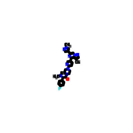 CN(C)C(C(=O)N1CCN(c2ccc(-c3nc(-c4cnn(C)c4)cn4ncc(C#N)c34)cn2)CC1)c1ccc(F)cc1